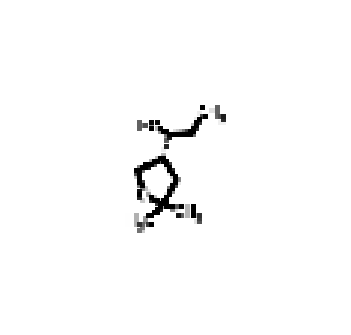 CCC(O)[C@H]1COC(C)(C)C1